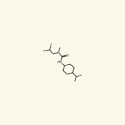 CC(C)C1CCC(NC(=O)N(C)CC(F)F)CC1